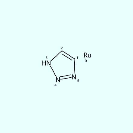 [Ru].c1c[nH]nn1